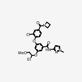 CCC(COC)Oc1cc(Oc2ccc(C(=O)N3CCC3)cc2Cl)cc(C(=O)Nc2ccn(C)n2)c1